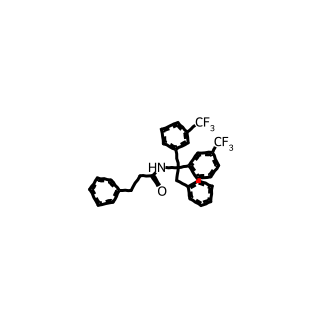 O=C(CCc1ccccc1)NC(Cc1ccccc1)(c1cccc(C(F)(F)F)c1)c1cccc(C(F)(F)F)c1